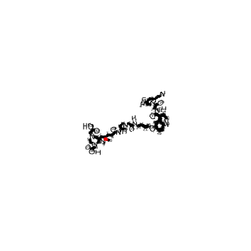 CCN(C)C1(CCCCC(=O)NC2CCN(CC(=O)NCCCCOc3ccc4nccc(C(=O)NCC(=O)N5CC(F)(F)CC5C#N)c4c3)C2)CN(CC(=O)O)CCN(CC(=O)O)C1